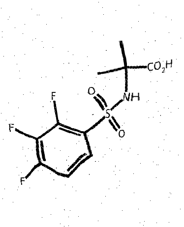 CC(C)(NS(=O)(=O)c1ccc(F)c(F)c1F)C(=O)O